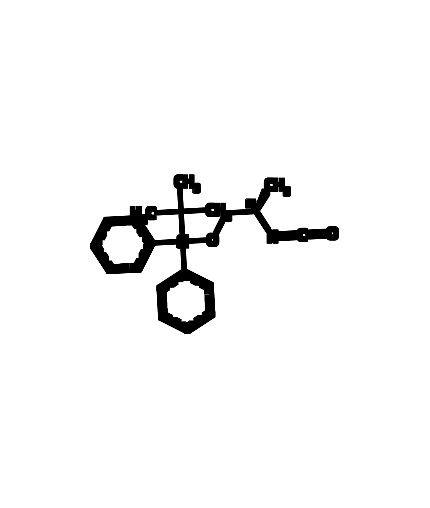 C[C@H](CO[Si](c1ccccc1)(c1ccccc1)C(C)(C)C)N=C=O